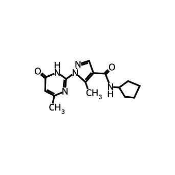 Cc1cc(=O)[nH]c(-n2ncc(C(=O)NC3CCCC3)c2C)n1